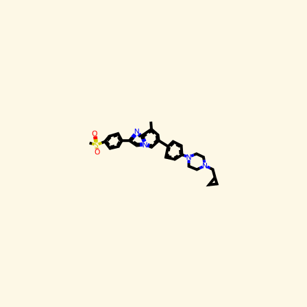 Cc1cc(-c2ccc(N3CCN(CC4CC4)CC3)cc2)cn2cc(-c3ccc(S(C)(=O)=O)cc3)nc12